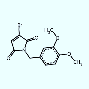 COc1ccc(CN2C(=O)C=C(Br)C2=O)cc1OC